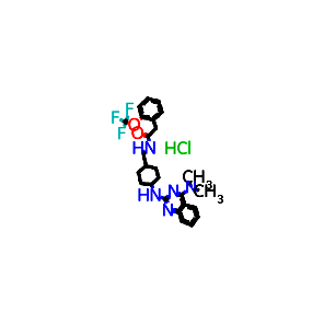 CN(C)c1nc(NC2CCC(CNC(=O)Cc3ccccc3OC(F)(F)F)CC2)nc2ccccc12.Cl